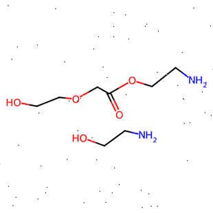 NCCO.NCCOC(=O)COCCO